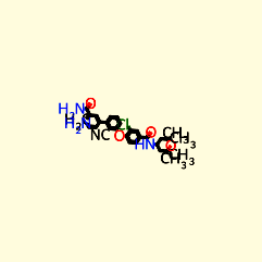 C=C(/C=C(\C=C/N)c1cccc(Oc2ccc(C(=O)NC3CC(C)(C)OC(C)(C)C3)cc2Cl)c1C#N)C(N)=O